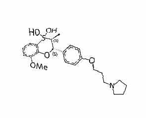 COc1cccc2c1O[C@@H](c1ccc(OCCCN3CCCC3)cc1)[C@H](C)S2(O)O